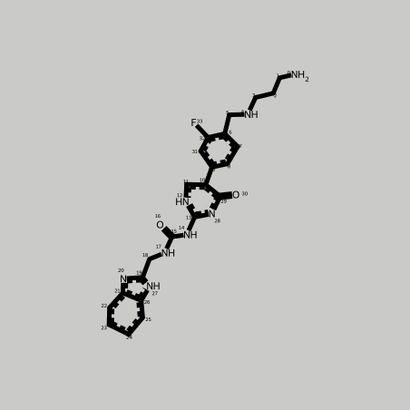 NCCCNCc1ccc(-c2c[nH]c(NC(=O)NCc3nc4ccccc4[nH]3)nc2=O)cc1F